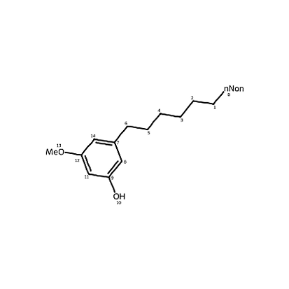 CCCCCCCCCCCCCCCc1cc(O)cc(OC)c1